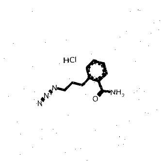 Cl.[N-]=[N+]=NCCCc1ccccc1C(N)=O